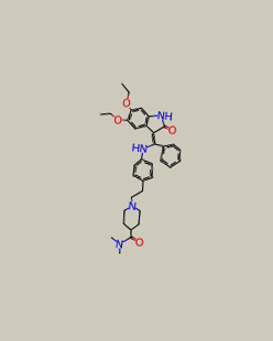 CCOc1cc2c(cc1OCC)/C(=C(\Nc1ccc(CCN3CCC(C(=O)N(C)C)CC3)cc1)c1ccccc1)C(=O)N2